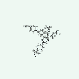 CCS(=O)(=O)N1CCN(c2cnc(N(C(=O)OC(C)(C)C)C(=O)OC(C)(C)C)c(-c3cn(-c4ccc(N)cc4)nn3)n2)CC1